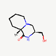 O=C1N[C@H](CO)CN2CCCC[C@@H]12